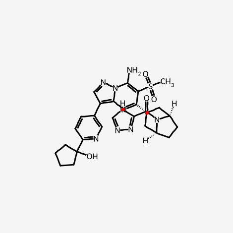 CS(=O)(=O)c1c([C@@H]2C[C@H]3CC[C@@H](C2)N3C(=O)c2nnc[nH]2)nc2c(-c3ccc(C4(O)CCCC4)nc3)cnn2c1N